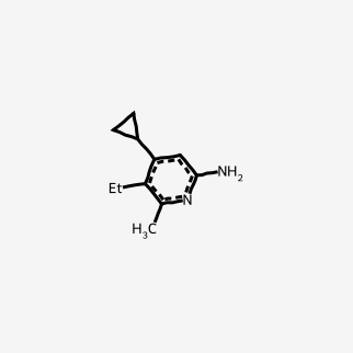 CCc1c(C2CC2)cc(N)nc1C